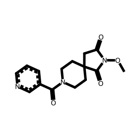 CON1C(=O)CC2(CCN(C(=O)c3cccnc3)CC2)C1=O